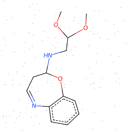 COC(CNC1CC=Nc2ccccc2O1)OC